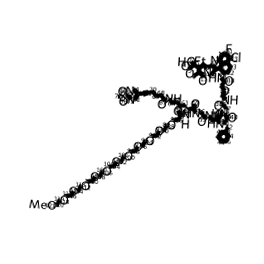 CC[C@@]1(O)C(=O)OCc2c1cc1n(c2=O)Cc2c-1nc1cc(F)c(Cl)c3c1c2[C@@H](NC(=O)COCNC(=O)CNC(=O)[C@H](Cc1ccccc1)NC(=O)CNC(=O)CNC(=O)[C@H](CCCCNC(=O)CCCC#Cc1cnc(S(C)(=O)=O)nc1)NC(=O)CCOCCOCCOCCOCCOCCOCCOCCOCCOCCOCCOCCOC)CC3